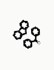 O=C(c1ccccc1)c1ccccc1.c1ccc2c(c1)Cc1ccccc1-2